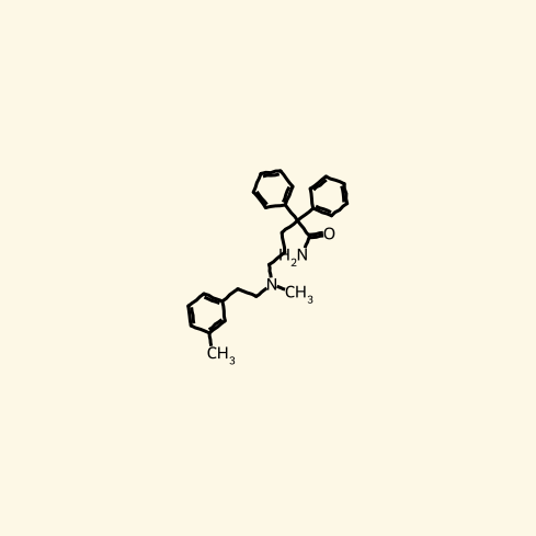 Cc1cccc(CCN(C)CCCC(C(N)=O)(c2ccccc2)c2ccccc2)c1